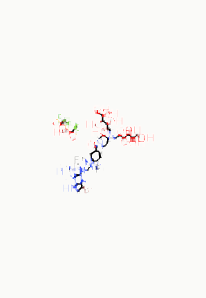 CCn1c(CN(C=O)c2nc3c(Br)c[nH]c3nc2N)[n+](CC)c2ccc(C(=O)N3CCC(N(C[C@H](O)[C@@H](O)[C@H](O)[C@H](O)CO)C[C@H](O)[C@@H](O)[C@H](O)[C@H](O)CO)CC3)cc21.O=C(O)C(F)(F)F.O=C([O-])C(F)(F)F